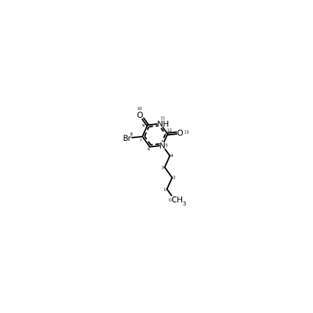 CCCCCn1cc(Br)c(=O)[nH]c1=O